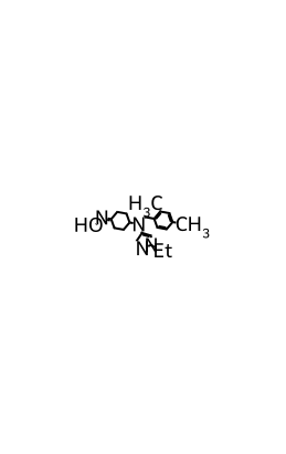 CCn1cc(N(Cc2ccc(C)cc2C)C2CCC(=NO)CC2)cn1